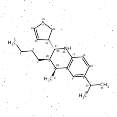 CCCC[C@@H]1[C@H](C)c2cc(C(C)C)ccc2N[C@H]1C1C=CSC1